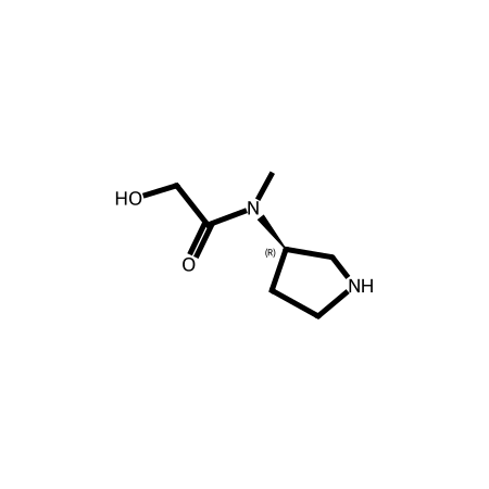 CN(C(=O)CO)[C@@H]1CCNC1